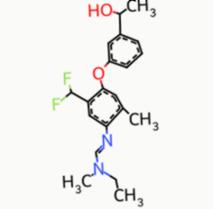 CCN(C)C=Nc1cc(C(F)F)c(Oc2cccc(C(C)O)c2)cc1C